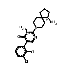 Cn1c(N2CCC3(CCC[C@H]3N)CC2)ncc(-c2cccc(Cl)c2Cl)c1=O